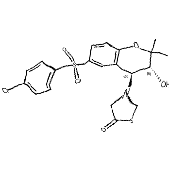 CC1(C)Oc2ccc(S(=O)(=O)c3ccc(Cl)cc3)cc2[C@H](N2CSC(=O)C2)[C@H]1O